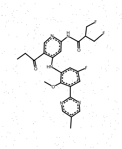 CCC(=O)c1cnc(NC(=O)C(CF)CF)cc1Nc1cc(F)cc(-c2ncc(C)cn2)c1OC